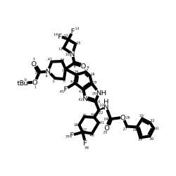 CC(C)(C)OC(=O)N1CCC(C(=O)N2CC(F)(F)C2)(c2ccc3[nH]c([C@@H](NC(=O)OCc4ccccc4)C4CCC(F)(F)CC4)nc3c2F)CC1